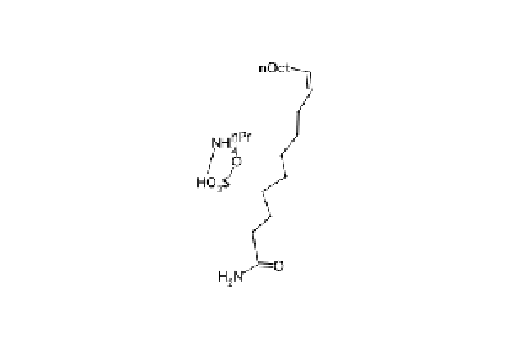 CCCCCCCC/C=C\CCCCCCCC(N)=O.CCCOS(=O)(=O)O.CN